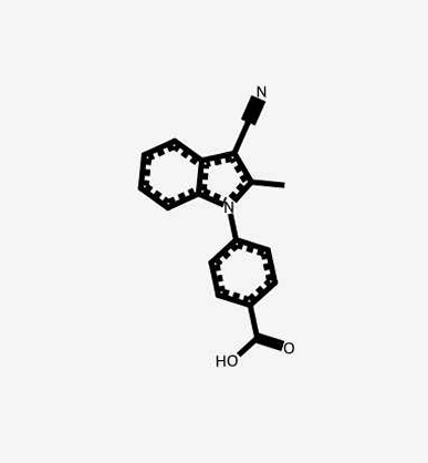 Cc1c(C#N)c2ccccc2n1-c1ccc(C(=O)O)cc1